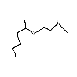 CCCCC(C)OCCNC